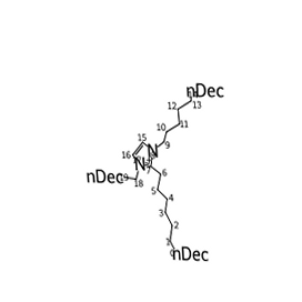 CCCCCCCCCCCCCCCCc1n(CCCCCCCCCCCCCCC)cc[n+]1CCCCCCCCCCC